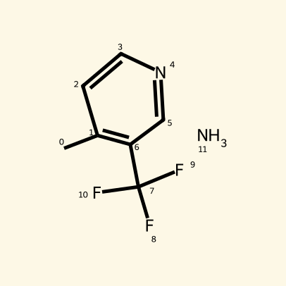 Cc1ccncc1C(F)(F)F.N